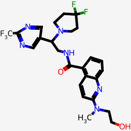 CN(CCO)c1ccc2c(C(=O)NCC(c3cnc(C(F)(F)F)nc3)N3CCC(F)(F)CC3)cccc2n1